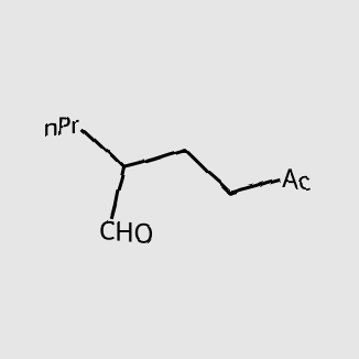 CCCC(C=O)CCC(C)=O